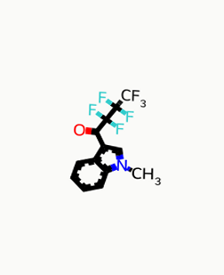 Cn1cc(C(=O)C(F)(F)C(F)(F)C(F)(F)F)c2ccccc21